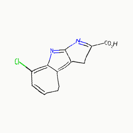 O=C(O)C1=NC2=NC3=C(Cl)C=CCC3=C2C1